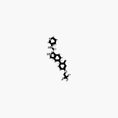 Cc1cc(OCC(F)(F)F)ccc1-c1ccc2c(c1)CN[C@@H]2CNc1cccnc1